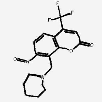 O=Nc1ccc2c(C(F)(F)F)cc(=O)oc2c1CN1CCCCC1